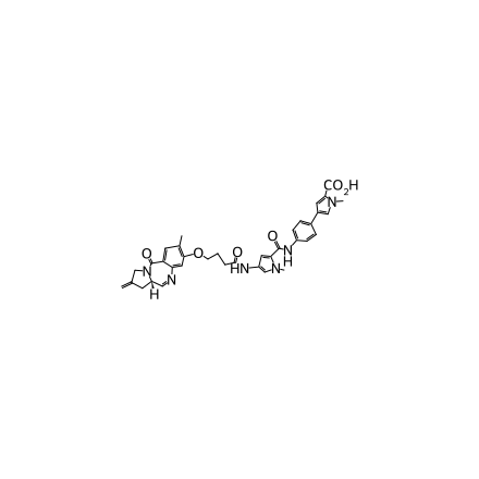 C=C1C[C@H]2C=Nc3cc(OCCCC(=O)Nc4cc(C(=O)Nc5ccc(-c6cc(C(=O)O)n(C)c6)cc5)n(C)c4)c(C)cc3C(=O)N2C1